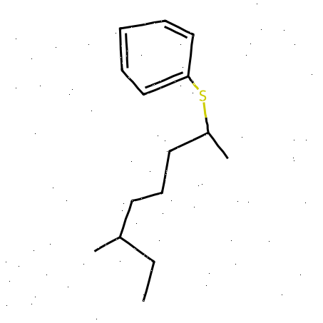 CCC(C)CCCC(C)Sc1ccccc1